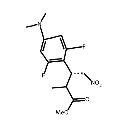 COC(=O)C(C)[C@@H](C[N+](=O)[O-])c1c(F)cc(N(C)C)cc1F